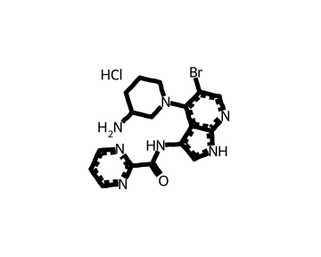 Cl.NC1CCCN(c2c(Br)cnc3[nH]cc(NC(=O)c4ncccn4)c23)C1